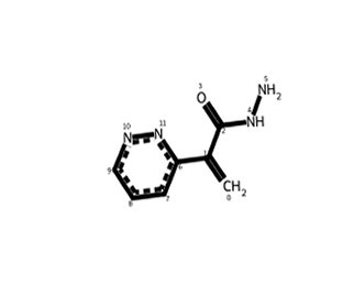 C=C(C(=O)NN)c1cccnn1